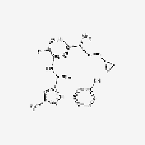 N#Cc1cccc(-n2nc(C(F)(F)F)cc2C(=O)Nc2cc(C(N)CCC3CC3)ccc2F)c1